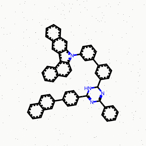 c1ccc(C2=NC(c3cccc(-c4cccc(-n5c6cc7ccccc7cc6c6c7ccccc7ccc65)c4)c3)NC(c3ccc(-c4ccc5ccccc5c4)cc3)=N2)cc1